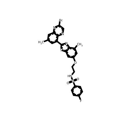 CC(=O)c1cnc2c(-c3nc4c(C)cc(OCCNS(=O)(=O)c5ccc(F)cc5)cc4s3)cc(C)cc2n1